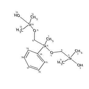 C[Si](C)(O)CO[Si](C)(CO[Si](C)(C)O)c1ccccc1